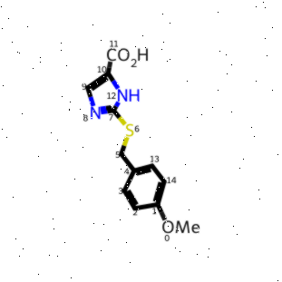 COc1ccc(CSc2ncc(C(=O)O)[nH]2)cc1